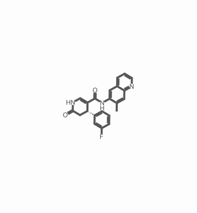 Cc1cc2ncccc2cc1NC(=O)C1=CNC(=O)C[C@H]1c1cccc(F)c1